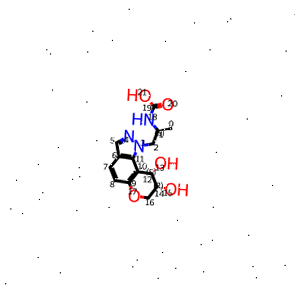 C[C@@H](Cn1ncc2ccc3c(c21)[C@H](O)[C@H](O)CO3)NC(=O)O